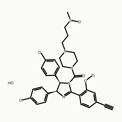 C#Cc1ccc(C2=N[C@@H](c3ccc(Cl)cc3)[C@@H](c3ccc(Cl)cc3)N2C(=O)N2CCN(CCC[S+](C)[O-])CC2)c(OCC)c1.Cl